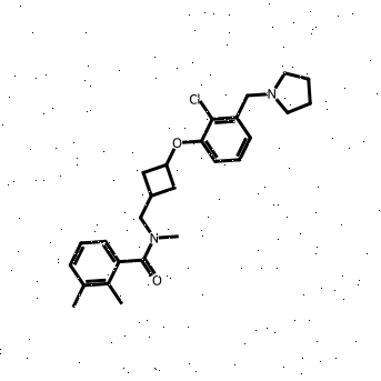 Cc1cccc(C(=O)N(C)CC2CC(Oc3cccc(CN4CCCC4)c3Cl)C2)c1C